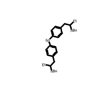 CCCCC(CC)Cc1cc[c]([Sn][c]2ccc(CC(CC)CCCC)cc2)cc1